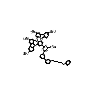 CC(C)(C)c1ccc2c(c1)c1cc(C(C)(C)C)cc3c1n2-c1cc(-c2nc(-c4cccc(-c5cccc(CCCCCCc6ccccc6)c5)c4)nc(C(C)(C)C)n2)cc2c1B3c1cc(C(C)(C)C)cc3c4cc(C(C)(C)C)ccc4n-2c13